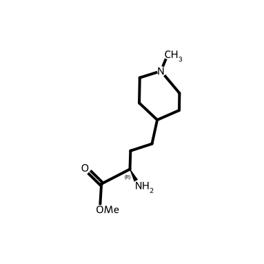 COC(=O)[C@H](N)CCC1CCN(C)CC1